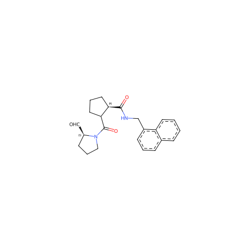 O=C[C@@H]1CCCN1C(=O)C1CCC[C@H]1C(=O)NCc1cccc2ccccc12